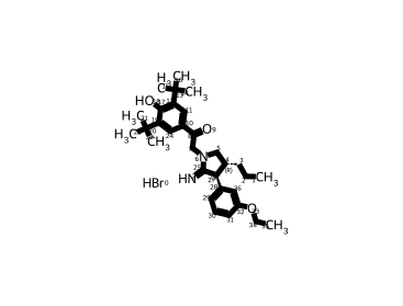 Br.CCC[C@H]1CN(CC(=O)c2cc(C(C)(C)C)c(O)c(C(C)(C)C)c2)C(=N)[C@@H]1c1cccc(OCC)c1